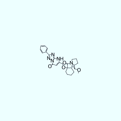 COC[C@@H]1CCCN1C(=O)C1(OCc2cc(=O)n3nc(-c4ccccc4)nc3[nH]2)CCCCC1